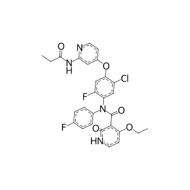 CCOc1cc[nH]c(=O)c1C(=O)N(c1ccc(F)cc1)c1cc(Cl)c(Oc2ccnc(NC(=O)CC)c2)cc1F